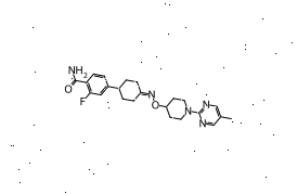 Cc1cnc(N2CCC(ON=C3CCC(c4ccc(C(N)=O)c(F)c4)CC3)CC2)nc1